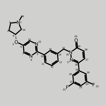 CN1CC[C@@H](Oc2cnc(-c3cccc(Cn4nc(-c5cc(F)cc(F)c5)ccc4=O)c3)nc2)C1